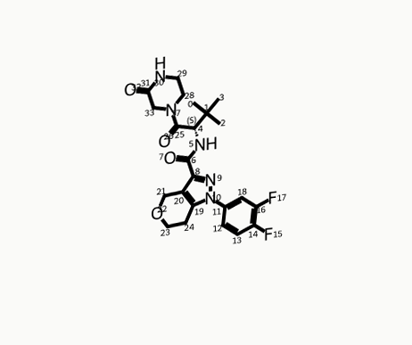 CC(C)(C)[C@H](NC(=O)c1nn(-c2ccc(F)c(F)c2)c2c1COCC2)C(=O)N1CCNC(=O)C1